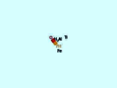 O=P.[AlH3].[Fe].[Ti]